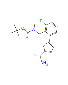 C[C@@H](N)c1ccc(-c2cccc(F)c2CN(C)C(=O)OC(C)(C)C)s1